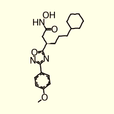 COc1ccc(-c2noc([C@H](CCCC3CCCCC3)CC(=O)NO)n2)cc1